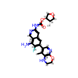 Cc1c(-c2cc3cc(NC(=O)O[C@H]4COC[C@@H]4C)ncc3c(N)c2F)cnc2c1NCCO2